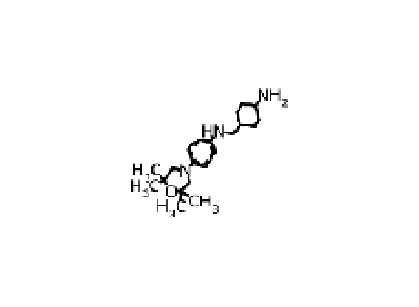 CC1(C)CN(c2ccc(NCC3CCC(N)CC3)cc2)CC(C)(C)O1